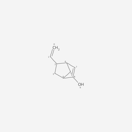 C=CC1CC2CC1C=C2O